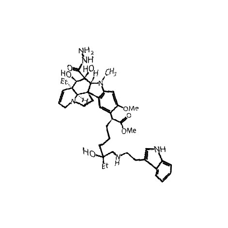 CCC(O)(CCC[C@H](C(=O)OC)c1cc2c(cc1OC)N(C)[C@H]1[C@@](O)(C(=O)NN)[C@H](O)[C@]3(CC)C=CCN4CC[C@]21[C@@H]43)CNCCc1c[nH]c2ccccc12